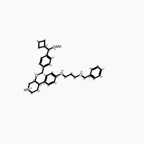 COC(c1ccc(COC2CNCCC2c2ccc(OCCCOCc3ccccc3)cc2)cc1)C1CCC1